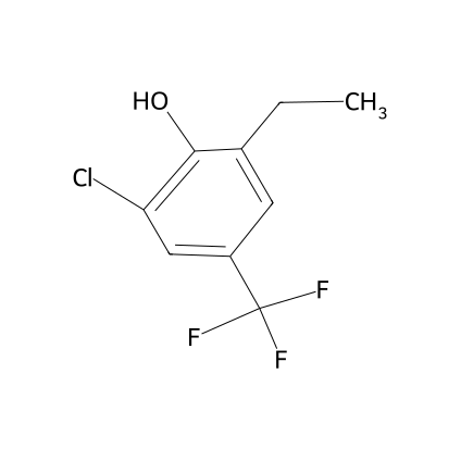 CCc1cc(C(F)(F)F)cc(Cl)c1O